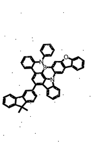 CC1(C)c2ccccc2-c2cc(-c3cc4c5c6c3c3ccccc3n6-c3cc6c(cc3B5N(c3ccccc3)c3ccccc3-4)oc3ccccc36)ccc21